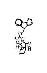 O=C(OCC1c2ccccc2-c2ccccc21)ON1C(=O)[C@@H]2[C@H]3C=CC(C3)[C@@H]2C1=O